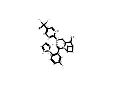 CC1C2CC(C2)N(C(=O)c2cc(Cl)ccc2-n2nccn2)C1CNc1ncc(C(F)(F)F)cn1